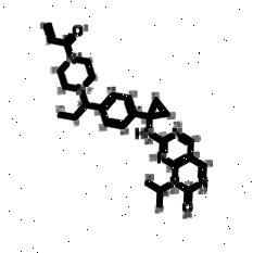 C=CC(=O)N1CCN(C(CC)c2ccc(C3(Nc4ncc5cnc(=O)n(C(C)C)c5n4)CC3)cc2)CC1